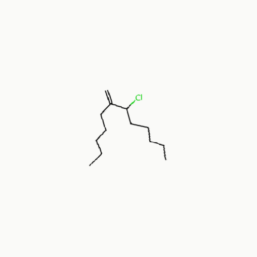 C=C(CCCCC)C(Cl)CCCCC